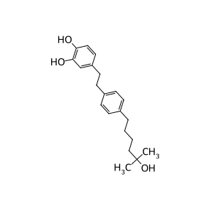 CC(C)(O)CCCCc1ccc(CCc2ccc(O)c(O)c2)cc1